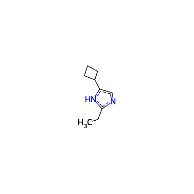 CCc1ncc(C2CCC2)[nH]1